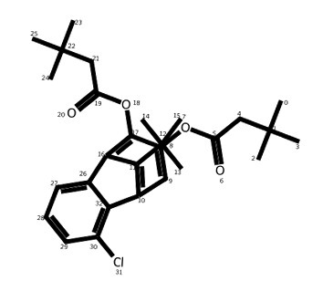 CC(C)(C)CC(=O)Oc1cc2c(C(C)(C)C)c(c1OC(=O)CC(C)(C)C)-c1cccc(Cl)c1-2